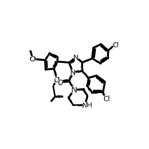 COc1ccc(C2=NC(c3ccc(Cl)cc3)C(c3ccc(Cl)cc3)N2C(=O)N2CCNCC2)c(OCC(C)C)c1